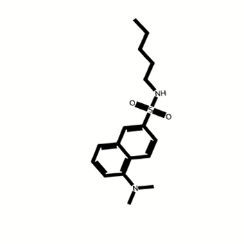 CCCCCNS(=O)(=O)c1ccc2c(N(C)C)cccc2c1